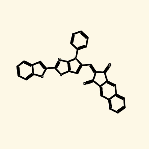 O=C1C(=Cc2cc3sc(-c4cc5ccccc5o4)nc3n2-c2ccccc2)C(=O)c2cc3ccccc3cc21